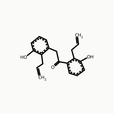 C=CCc1c(O)cccc1CC(=O)c1cccc(O)c1CC=C